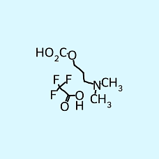 CN(C)CCCOC(=O)O.O=C(O)C(F)(F)F